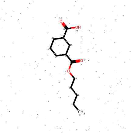 CCCCCOC(=O)C1CCCC(C(=O)O)C1